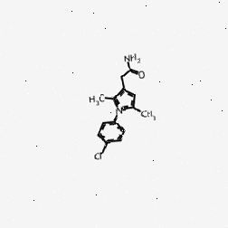 Cc1cc(CC(N)=O)c(C)n1-c1ccc(Cl)cc1